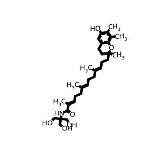 C/C(=C\CC/C(C)=C/CCC1(C)CCc2cc(O)c(C)c(C)c2O1)CC/C=C(\C)C(=O)NC(CO)(CO)CO